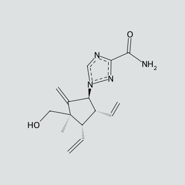 C=C[C@H]1[C@H](n2cnc(C(N)=O)n2)C(=C)[C@](C)(CO)[C@H]1C=C